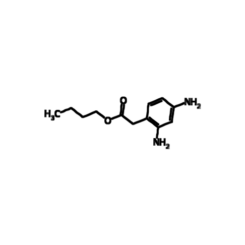 CCCCOC(=O)Cc1ccc(N)cc1N